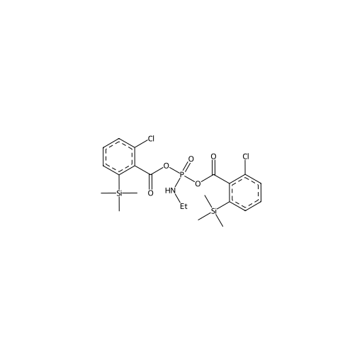 CCNP(=O)(OC(=O)c1c(Cl)cccc1[Si](C)(C)C)OC(=O)c1c(Cl)cccc1[Si](C)(C)C